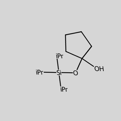 CC(C)[Si](OC1(O)CCCC1)(C(C)C)C(C)C